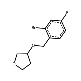 Fc1ccc(COC2CCOC2)c(Br)c1